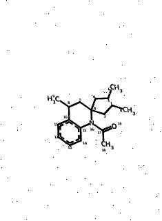 CCCC1(CCC)CC(C)c2ccccc2N1C(C)=O